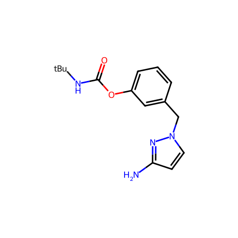 CC(C)(C)NC(=O)Oc1cccc(Cn2ccc(N)n2)c1